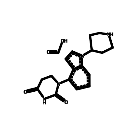 O=C1CCN(c2cccc3c2ccn3C2CCNCC2)C(=O)N1.O=CO